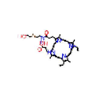 C=CC1=C(C)c2cc3[nH]c(cc4nc(cc5[nH]c(cc1n2)c(C)c5CCC(=O)O)C(CCC(=O)NCCSCCO)=C4C)c(C)c3C=C